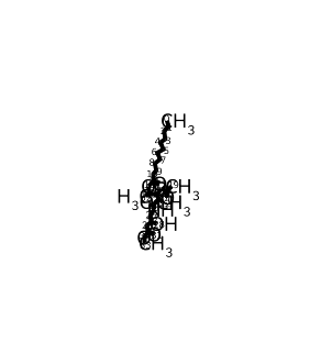 CCCCCCCCCCCC(=O)OC(C)C(OC(C)=O)C(C)C(=O)NCC(O)CC(=O)OC